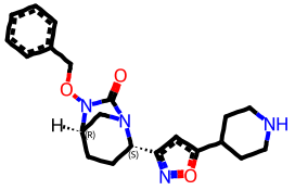 O=C1N2C[C@@H](CC[C@H]2c2cc(C3CCNCC3)on2)N1OCc1ccccc1